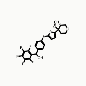 COC1(c2ccc(Sc3ccc(C(O)c4c(F)c(F)c(F)c(F)c4F)cc3)s2)CCOCC1